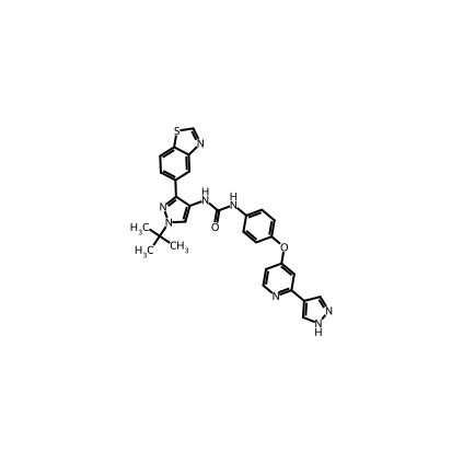 CC(C)(C)n1cc(NC(=O)Nc2ccc(Oc3ccnc(-c4cn[nH]c4)c3)cc2)c(-c2ccc3scnc3c2)n1